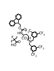 O=C(N[C@@H](CCCN(Cc1cc(C(F)(F)F)cc(C(F)(F)F)c1)Cc1cc(C(F)(F)F)cc(C(F)(F)F)c1)C(=O)O)OCC1c2ccccc2-c2ccccc21.O=C(O)C(F)(F)F